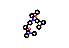 c1ccc(-c2ccccc2-c2ccc(N(c3ccc(-c4cccc5c4oc4c5c5ccccc5n4-c4ccccc4)cc3)c3cccc4c3oc3ccccc34)cc2)cc1